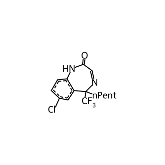 CCCCCC1(C(F)(F)F)N=CC(=O)Nc2ccc(Cl)cc21